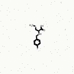 CSCC(NCc1ccc(F)cc1)C(=O)O